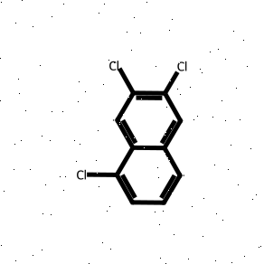 Clc1[c]c2c(Cl)cc[c]c2cc1Cl